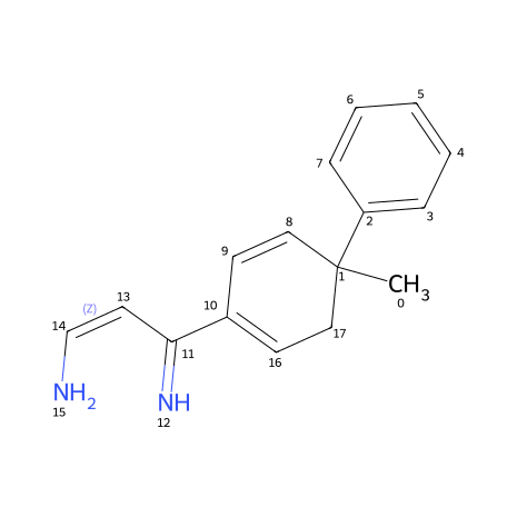 CC1(c2ccccc2)C=CC(C(=N)/C=C\N)=CC1